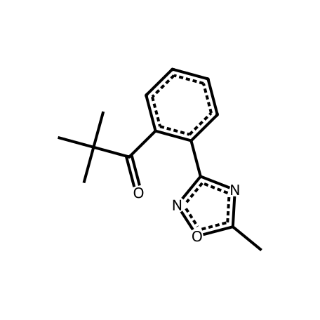 Cc1nc(-c2ccccc2C(=O)C(C)(C)C)no1